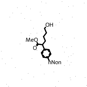 CCCCCCCCCc1ccc(C(CCCCO)C(=O)OC)cc1